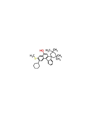 CSc1cc2c(O)cc3c(c2cc1C1CCCCC1)-c1ccccc1C31CC(C)(C)CC(C)(C)C1